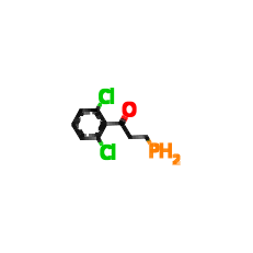 O=C(CCP)c1c(Cl)cccc1Cl